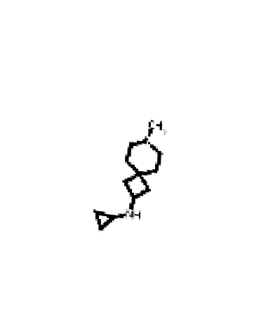 CN1CCC2(CC1)CC(NC1CC1)C2